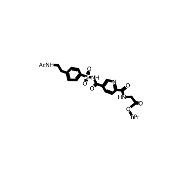 CCCOC(=O)CNC(=O)c1ccc(C(=O)NS(=O)(=O)c2ccc(CCNC(C)=O)cc2)cn1